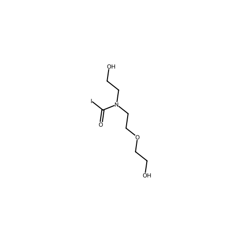 O=C(I)N(CCO)CCOCCO